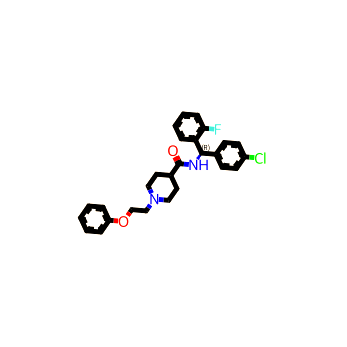 O=C(N[C@H](c1ccc(Cl)cc1)c1ccccc1F)C1CCN(CCOc2ccccc2)CC1